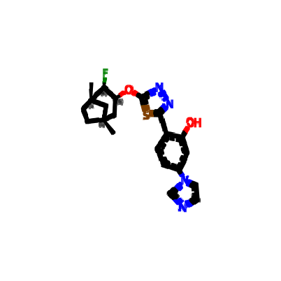 C[C@@]12CC[C@@](C)(C1)[C@@H](F)[C@@H](Oc1nnc(-c3ccc(-n4ccnc4)cc3O)s1)C2